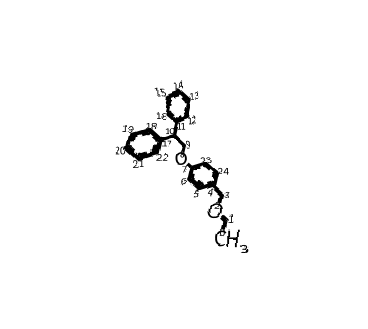 CCOCc1ccc(OCC(c2ccccc2)c2ccccc2)cc1